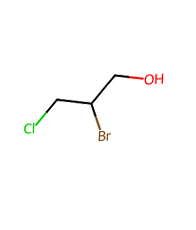 OCC(Br)CCl